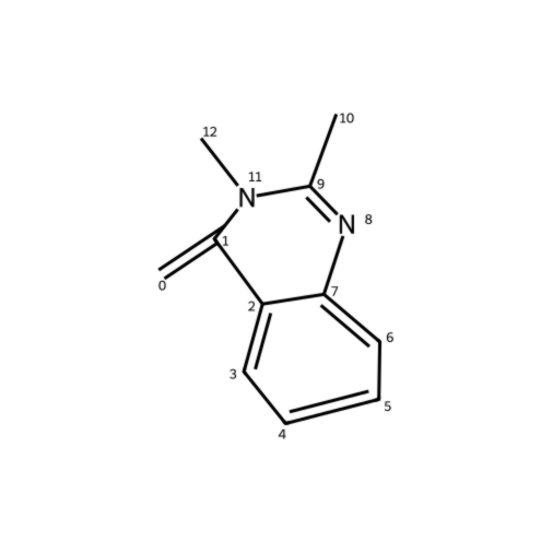 C=C1c2ccccc2N=C(C)N1C